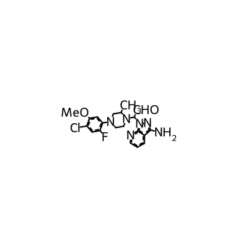 COc1cc(N2CCN(C(C=O)n3nc(N)c4cccnc43)C(C)C2)c(F)cc1Cl